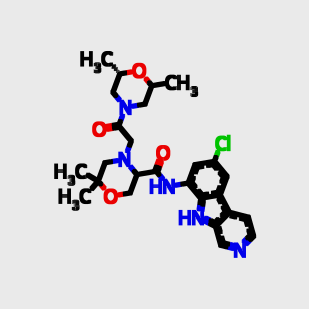 CC1CN(C(=O)CN2CC(C)(C)OCC2C(=O)Nc2cc(Cl)cc3c2[nH]c2cnccc23)C[C@H](C)O1